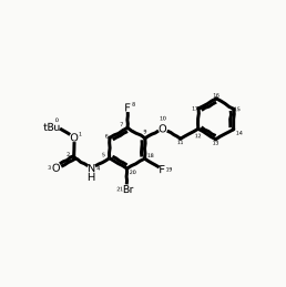 CC(C)(C)OC(=O)Nc1cc(F)c(OCc2ccccc2)c(F)c1Br